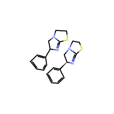 c1ccc(C2CN3CCSC3=N2)cc1.c1ccc([C@H]2CN3CCSC3=N2)cc1